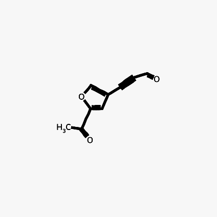 CC(=O)c1cc(C#CC=O)co1